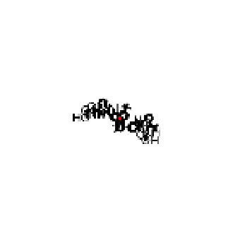 CC(C)=C(C(=O)NC(=O)O)N1CCCC1c1nc2cc([C@@H]3CC(C)[C@@](C)(c4ccc5[nH]c(C6CCCN6C(C(=O)NC(=O)O)=C(C)C)nc5c4)N3c3ccc(C(C)(C)C)cc3)ccc2[nH]1